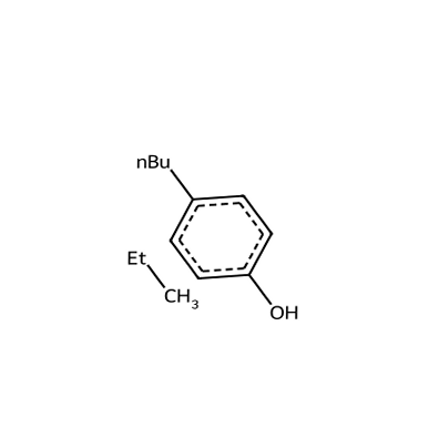 CCC.CCCCc1ccc(O)cc1